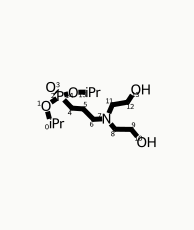 CC(C)OP(=O)(CCCN(CCO)CCO)OC(C)C